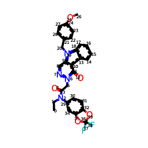 CCN(C(=O)Cn1ncc2c(c1=O)c1ccccc1n2Cc1ccc(OC)cc1)c1ccc2c(c1)OC(F)(F)O2